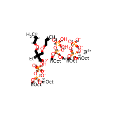 C=CCOCC(CC)(C[O-])COCC=C.CCCCCCCCO[P+]([O-])(OCCCCCCCC)OP(=O)(O)O.CCCCCCCCO[P+]([O-])(OCCCCCCCC)OP(=O)([O-])O.CCCCCCCCO[P+]([O-])(OCCCCCCCC)OP(=O)([O-])[O-].[Ti+4]